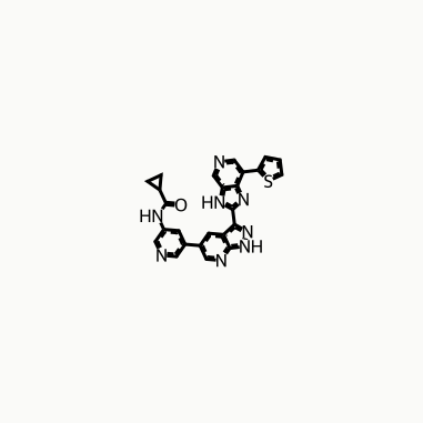 O=C(Nc1cncc(-c2cnc3[nH]nc(-c4nc5c(-c6cccs6)cncc5[nH]4)c3c2)c1)C1CC1